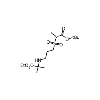 CCOC(=O)C(C)(C)NCCCS(=O)(=O)N(C)C(=O)OC(C)(C)C